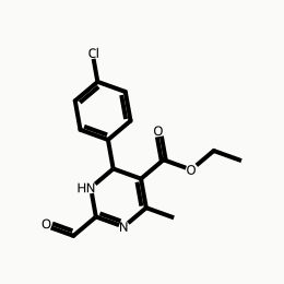 CCOC(=O)C1=C(C)N=C(C=O)NC1c1ccc(Cl)cc1